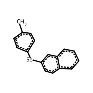 Cc1ccc([Se]c2ccc3ccccc3c2)cc1